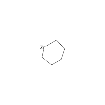 C1C[CH2][Zn][CH2]C1